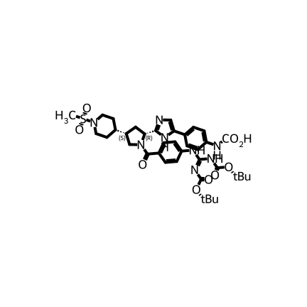 CC(C)(C)OC(=O)N=C(NC(=O)OC(C)(C)C)Nc1ccc(C(=O)N2C[C@H](C3CCN(S(C)(=O)=O)CC3)C[C@@H]2c2ncc(-c3ccc(NC(=O)O)cc3)[nH]2)cc1